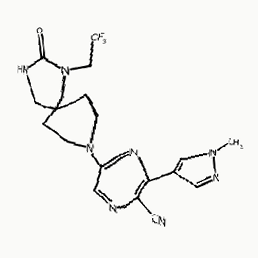 Cn1cc(-c2nc(N3CCC4(CC3)CNC(=O)N4CC(F)(F)F)cnc2C#N)cn1